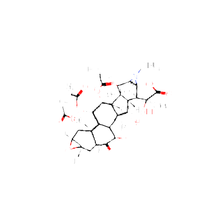 CC(=O)O[C@H]1C2C([C@@H]3[C@@H](O)[C@@H]4[C@H]([C@H](C)[C@H]5N(C)[C@]56OC(=O)[C@@](C)(O)[C@]46C)[C@@]3(C)[C@H]1OC(C)=O)[C@@H](O)C(=O)[C@H]1C[C@@H]3O[C@@H]3[C@H](OC(C)=O)[C@]21C